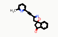 Cc1cccc(C#CC2=NOC3(CC(=O)c4ccccc43)C2)n1